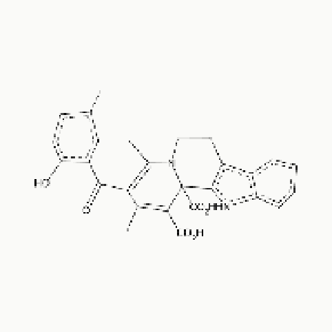 CC1=C(C(=O)O)C2(C(=O)O)c3[nH]c4ccccc4c3CCN2C(C)=C1C(=O)c1cc(C)ccc1O